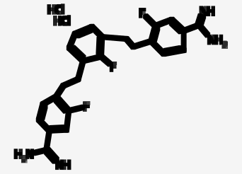 Cl.Cl.N=C(N)c1ccc(CCc2cccc(CCc3ccc(C(=N)N)cc3F)c2F)c(F)c1